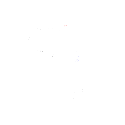 COc1ccc2ncc(CF)c([C@H](O)CCC3(CC(=O)O)CCN(CCSc4cc(F)cc(F)c4F)CC3)c2c1